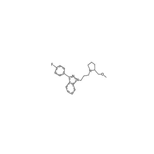 COCC1CCCN1CCCn1nc(-c2ccc(F)cc2)c2ccccc21